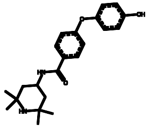 CC1(C)CC(NC(=O)c2ccc(Oc3ccc(O)cc3)cc2)CC(C)(C)N1